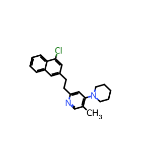 Cc1cnc(CCc2cc(Cl)c3ccccc3c2)cc1N1CCCCC1